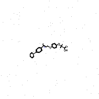 C/C(=C\COc1ccc(OC(C)(C)C(=O)O)cc1)c1ccc(-c2ccccc2)cc1